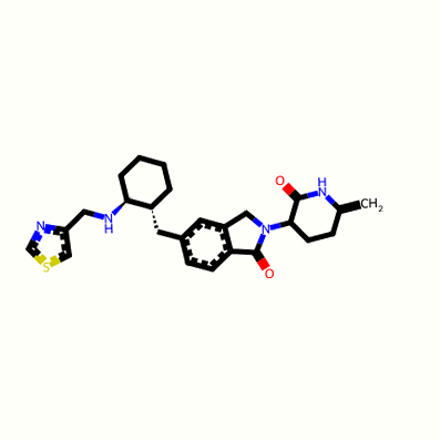 C=C1CCC(N2Cc3cc(C[C@H]4CCCC[C@@H]4NCc4cscn4)ccc3C2=O)C(=O)N1